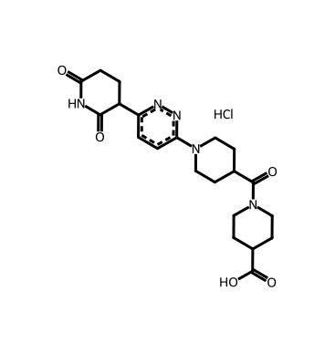 Cl.O=C1CCC(c2ccc(N3CCC(C(=O)N4CCC(C(=O)O)CC4)CC3)nn2)C(=O)N1